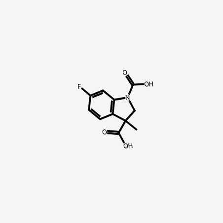 CC1(C(=O)O)CN(C(=O)O)c2cc(F)ccc21